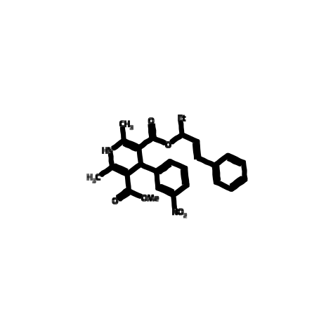 CCC(C=Cc1ccccc1)OC(=O)C1=C(C)NC(C)=C(C(=O)OC)C1c1cccc([N+](=O)[O-])c1